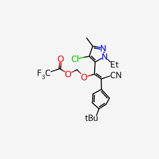 CCn1nc(C)c(Cl)c1/C(OCOC(=O)C(F)(F)F)=C(\C#N)c1ccc(C(C)(C)C)cc1